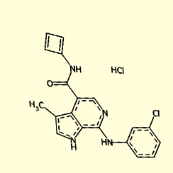 Cc1c[nH]c2c(Nc3cccc(Cl)c3)ncc(C(=O)NC3=CC=C3)c12.Cl